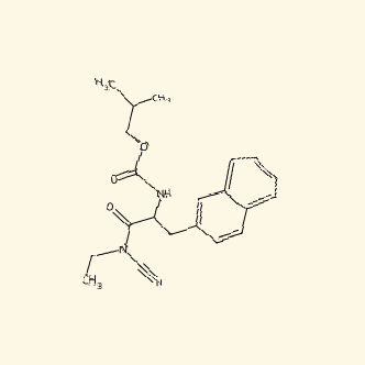 CCN(C#N)C(=O)C(Cc1ccc2ccccc2c1)NC(=O)OCC(C)C